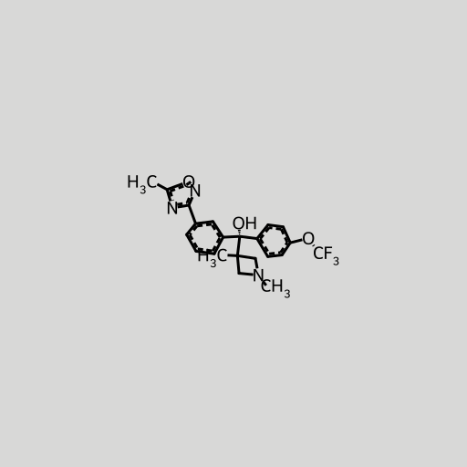 Cc1nc(-c2cccc([C@@](O)(c3ccc(OC(F)(F)F)cc3)C3(C)CN(C)C3)c2)no1